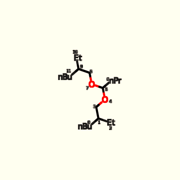 CCCCC(CC)COC(CCC)OCC(CC)CCCC